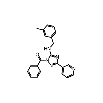 Cc1cccc(CNc2nc(-c3cccnc3)nn2C(=O)c2ccccc2)c1